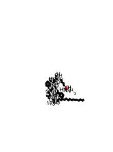 CCCCCCCCCCCCCCCC(=O)N[C@H](C(=O)N[C@H](C(=O)N[C@@H](Cc1ccccc1)C(=O)N[C@@H](Cc1c[nH]c2ccccc12)C(=O)N[C@@H](CO)C(=O)N[C@@H](CO)C(=O)N[C@H](C)CCCNC(=N)N)C(C)C)[C@@H](C)O